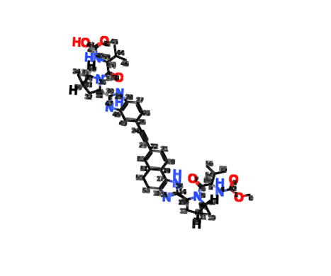 COC(=O)N[C@H](C(=O)N1[C@@H]2C[C@@H]2C[C@H]1c1nc2c([nH]1)-c1ccc(C#Cc3ccc4[nH]c([C@@H]5C[C@H]6C[C@H]6N5C(=O)[C@@H](NC(=O)O)C(C)C)nc4c3)cc1CC2)C(C)C